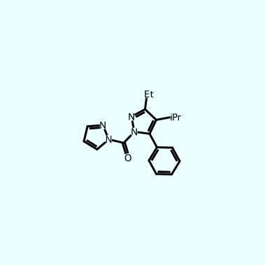 CCc1nn(C(=O)n2cccn2)c(-c2ccccc2)c1C(C)C